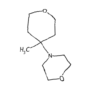 CC1(N2CCOCC2)CCOCC1